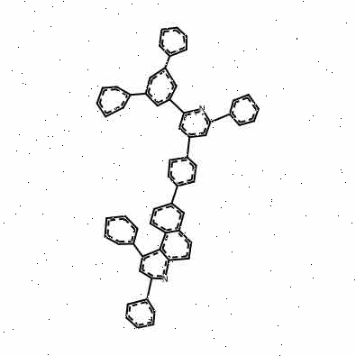 c1ccc(-c2cc(-c3ccccc3)cc(-c3cc(-c4ccc(-c5ccc6c(ccc7nc(-c8ccccc8)cc(-c8ccccc8)c76)c5)cc4)cc(-c4ccccc4)n3)c2)cc1